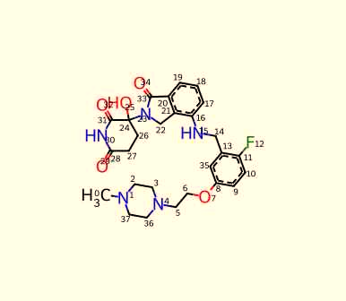 CN1CCN(CCOc2ccc(F)c(CNc3cccc4c3CN(C3(O)CCC(=O)NC3=O)C4=O)c2)CC1